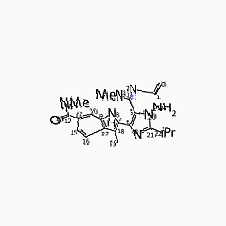 C=C/N=C(/NC)c1c(-c2[nH]c3cc(C(=O)NC)ccc3c2C)nc(C(C)C)n1N